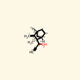 C#CC(O)[C@@]1(C)C(=C)[C@@H]2CC[C@H]1C2